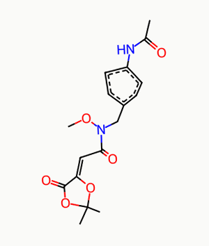 CON(Cc1ccc(NC(C)=O)cc1)C(=O)C=C1OC(C)(C)OC1=O